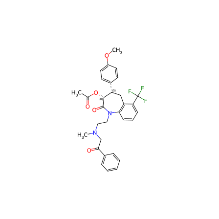 COc1ccc([C@@H]2Cc3c(cccc3C(F)(F)F)N(CCN(C)CC(=O)c3ccccc3)C(=O)[C@@H]2OC(C)=O)cc1